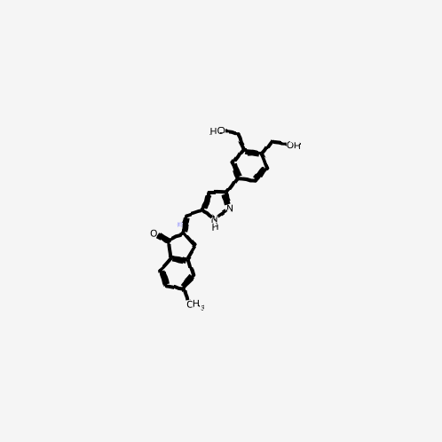 Cc1ccc2c(c1)C/C(=C\c1cc(-c3ccc(CO)c(CO)c3)n[nH]1)C2=O